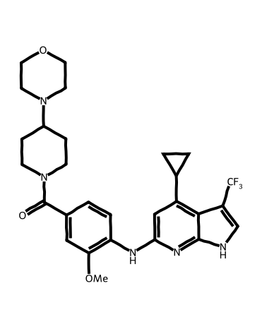 COc1cc(C(=O)N2CCC(N3CCOCC3)CC2)ccc1Nc1cc(C2CC2)c2c(C(F)(F)F)c[nH]c2n1